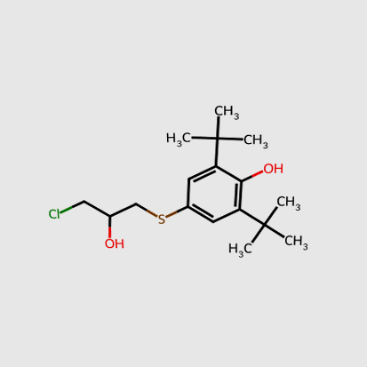 CC(C)(C)c1cc(SCC(O)CCl)cc(C(C)(C)C)c1O